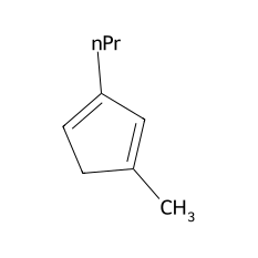 CCCC1=CCC(C)=C1